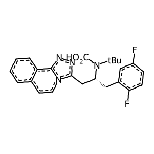 CC(C)(C)N(C(=O)O)[C@H](Cc1cc(F)ccc1F)Cc1nnc2c3ccccc3ccn12